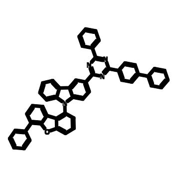 c1ccc(-c2ccc(-c3nc(-c4ccccc4)nc(-c4ccc5c(c4)c4ccccc4n5-c4cccc5oc6c(-c7ccccc7)cccc6c45)n3)cc2)cc1